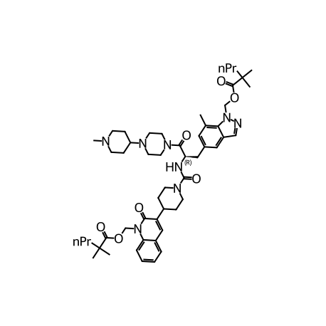 CCCC(C)(C)C(=O)OCn1ncc2cc(C[C@@H](NC(=O)N3CCC(c4cc5ccccc5n(COC(=O)C(C)(C)CCC)c4=O)CC3)C(=O)N3CCN(C4CCN(C)CC4)CC3)cc(C)c21